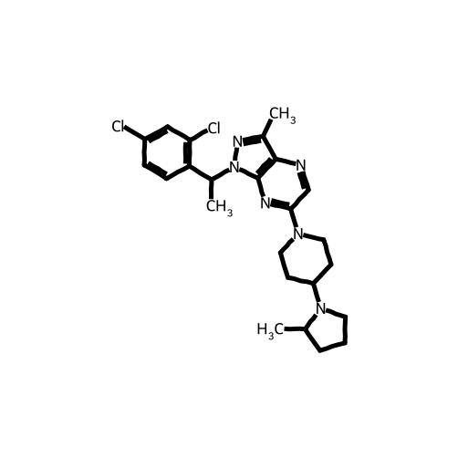 Cc1nn(C(C)c2ccc(Cl)cc2Cl)c2nc(N3CCC(N4CCCC4C)CC3)cnc12